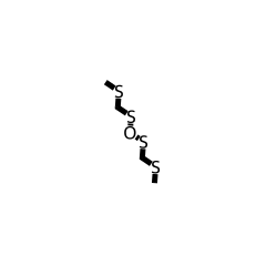 CSCSOSCSC